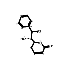 O=C1C=CCC([C@H](O)C(Cl)c2ccccc2)O1